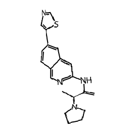 C=C(Nc1cc2cc(-c3cncs3)ccc2cn1)C(C)N1CCCC1